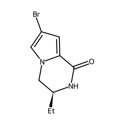 CC[C@H]1Cn2cc(Br)cc2C(=O)N1